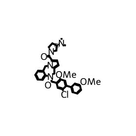 COc1cccc(-c2cc(OC)c(C(=O)N3Cc4ccc(C(=O)N5CC[C@@H](N(C)C)C5)n4Cc4ccccc43)cc2Cl)c1